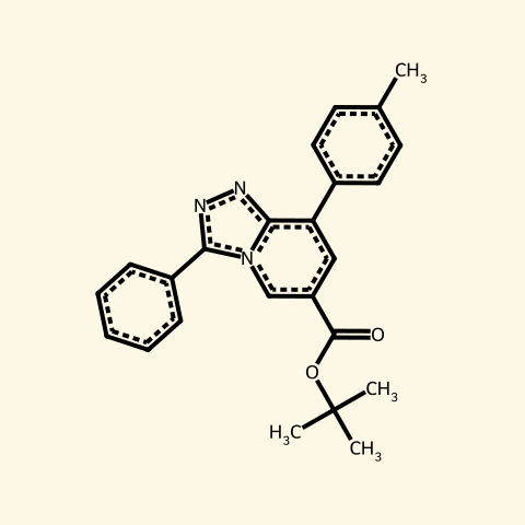 Cc1ccc(-c2cc(C(=O)OC(C)(C)C)cn3c(-c4ccccc4)nnc23)cc1